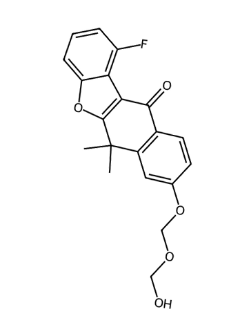 CC1(C)c2cc(OCOCO)ccc2C(=O)c2c1oc1cccc(F)c21